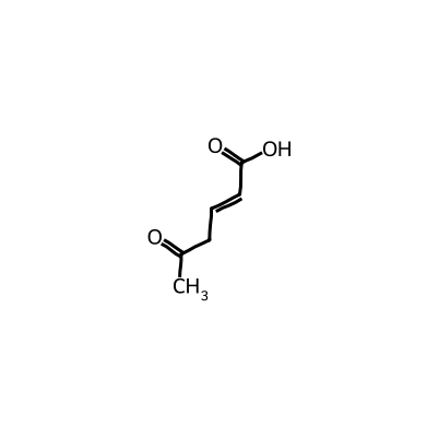 CC(=O)CC=CC(=O)O